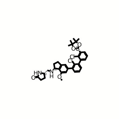 COc1cc(-c2cccc(-c3cccc(B4OC(C)(C)C(C)(C)O4)c3Cl)c2Cl)cc2c1[C@@H](NC[C@@H]1CCC(=O)N1)CC2